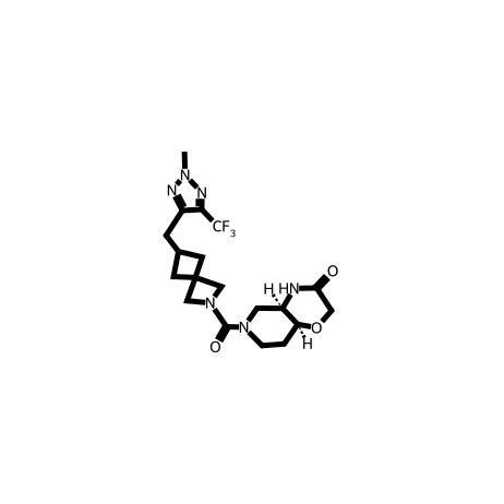 Cn1nc(CC2CC3(C2)CN(C(=O)N2CC[C@@H]4OCC(=O)N[C@@H]4C2)C3)c(C(F)(F)F)n1